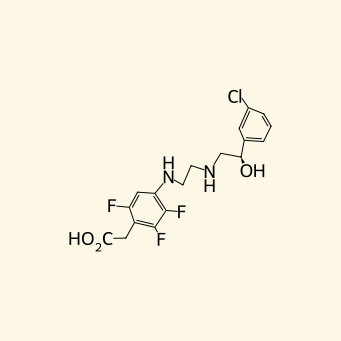 O=C(O)Cc1c(F)cc(NCCNC[C@H](O)c2cccc(Cl)c2)c(F)c1F